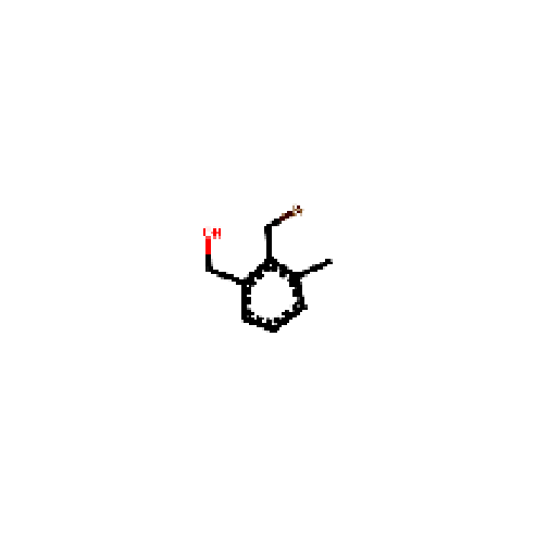 Cc1cccc(CO)c1CBr